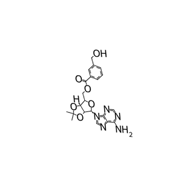 CC1(C)OC2[C@H](O1)C(COC(=O)c1cccc(CO)c1)O[C@H]2n1cnc2c(N)ncnc21